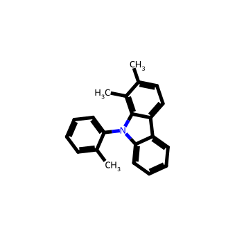 Cc1ccccc1-n1c2ccccc2c2ccc(C)c(C)c21